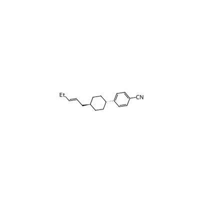 CCC=CC[C@H]1CC[C@H](c2ccc(C#N)cc2)CC1